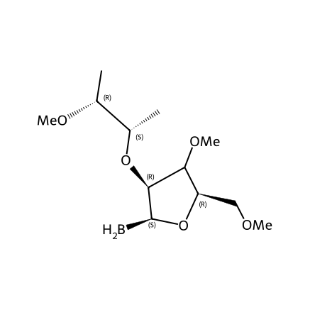 B[C@@H]1O[C@H](COC)C(OC)[C@@H]1O[C@@H](C)[C@@H](C)OC